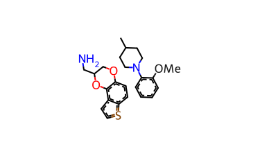 COc1ccccc1N1CCC(C)CC1.NCC1COc2ccc3sccc3c2O1